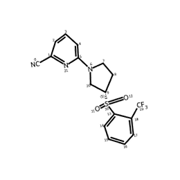 N#Cc1cccc(N2CC[C@H](S(=O)(=O)c3ccccc3C(F)(F)F)C2)n1